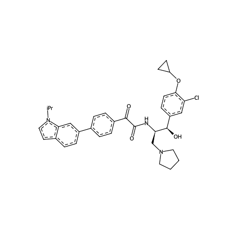 CC(C)n1ccc2ccc(-c3ccc(C(=O)C(=O)N[C@H](CN4CCCC4)[C@H](O)c4ccc(OC5CC5)c(Cl)c4)cc3)cc21